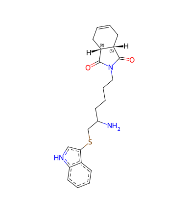 NC(CCCCN1C(=O)[C@H]2CC=CC[C@H]2C1=O)CSc1c[nH]c2ccccc12